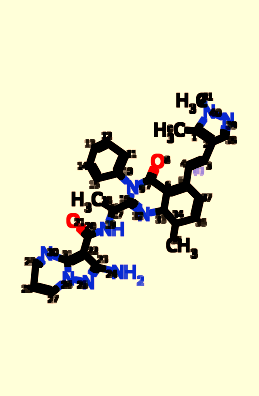 Cc1c(/C=C/C2=C3C(=O)N(c4ccccc4)C([C@H](C)NC(=O)c4c(N)nn5cccnc45)=NC3C(C)C=C2)cnn1C